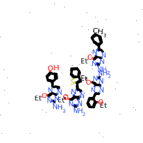 CCOc1ccccc1-c1cnc2nc(N)nc(OCC)c2n1.CCOc1nc(N)nc2ncc(-c3cc4ccccc4s3)nc12.CCOc1nc(N)nc2ncc(-c3ccc(C)cc3)nc12.CCOc1nc(N)nc2ncc(-c3ccc(O)cc3)nc12